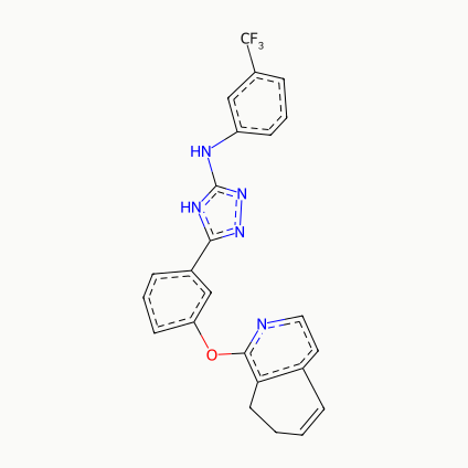 FC(F)(F)c1cccc(Nc2nnc(-c3cccc(Oc4nccc5c4CCC=C5)c3)[nH]2)c1